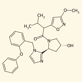 COc1cc(C(C(=O)N2C[C@H](O)C[C@H]2c2nccn2Cc2ccccc2Oc2ccccc2)C(C)C)on1